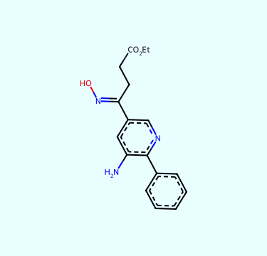 CCOC(=O)CCC(=NO)c1cnc(-c2ccccc2)c(N)c1